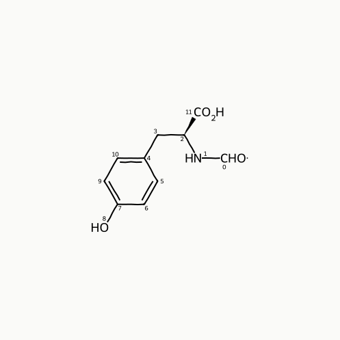 O=[C]N[C@@H](Cc1ccc(O)cc1)C(=O)O